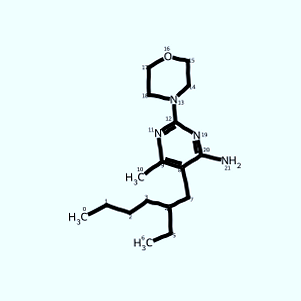 CCCCC(CC)Cc1c(C)nc(N2CCOCC2)nc1N